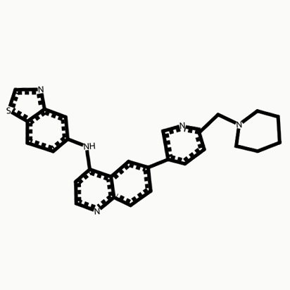 c1cc(Nc2ccc3scnc3c2)c2cc(-c3ccc(CN4CCCCC4)nc3)ccc2n1